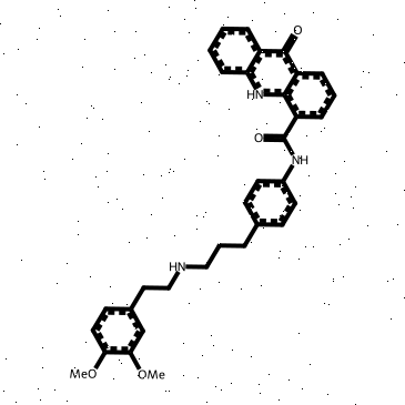 COc1ccc(CCNCCCc2ccc(NC(=O)c3cccc4c(=O)c5ccccc5[nH]c34)cc2)cc1OC